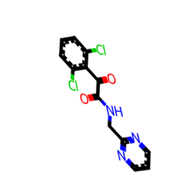 O=C(NCc1ncccn1)C(=O)c1c(Cl)cccc1Cl